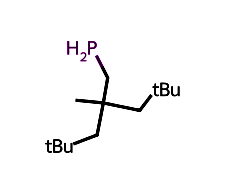 CC(C)(C)CC(C)(CP)CC(C)(C)C